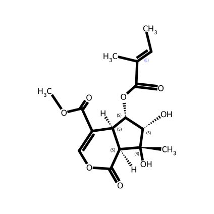 C/C=C(\C)C(=O)O[C@H]1[C@@H]2C(C(=O)OC)=COC(=O)[C@@H]2[C@@](C)(O)[C@H]1O